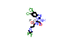 O=C(CCN1CC(F)(F)C1)NC1(C(F)(F)F)C(=O)Nc2nc3cc(Cl)c(Cl)cc3n21